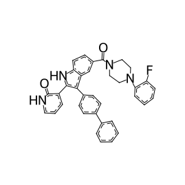 O=C(c1ccc2[nH]c(-c3ccc[nH]c3=O)c(-c3ccc(-c4ccccc4)cc3)c2c1)N1CCN(c2ccccc2F)CC1